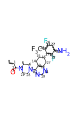 C=CC(=O)N1CCN(c2ncnc3c2CC[C@H](c2c(F)c(N)cc(F)c2C(F)(F)F)C3)CC1